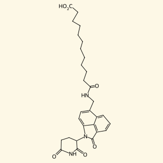 O=C(O)CCCCCCCCCCC(=O)NCc1ccc2c3c(cccc13)C(=O)N2C1CCC(=O)NC1=O